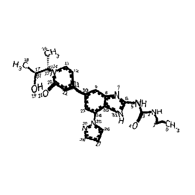 CCNC(=O)Nc1nc2cc(-c3ccn([C@@H](C)[C@H](C)O)c(=O)c3)cc(-n3cccn3)c2[nH]1